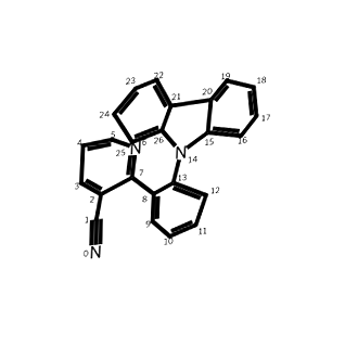 N#Cc1cccnc1-c1ccccc1-n1c2ccccc2c2ccccc21